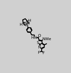 CNc1c(C(=O)NCCc2ccc(N3C[C@H]4CC[C@@H](C3)N4)cc2)sc2nc(C(F)F)cc(C)c12